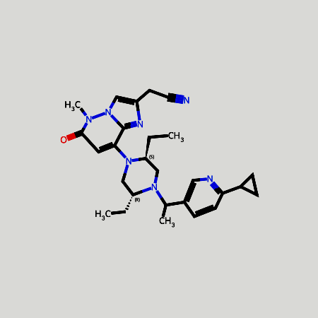 CC[C@H]1CN(C(C)c2ccc(C3CC3)nc2)[C@H](CC)CN1c1cc(=O)n(C)n2cc(CC#N)nc12